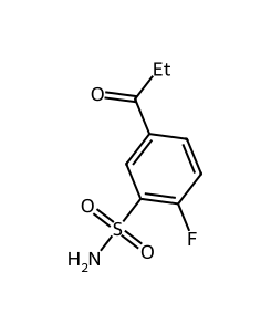 CCC(=O)c1ccc(F)c(S(N)(=O)=O)c1